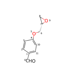 O=Cc1ccc(OC[C@@H]2CO2)cc1